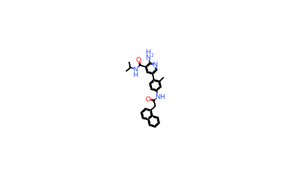 Cc1cc(NC(=O)Cc2cccc3ccccc23)ccc1-c1cnc(N)c(C(=O)NC(C)C)c1